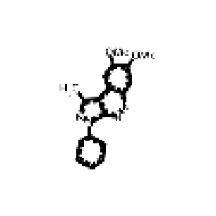 COc1cc2nnc3c(c(C)nn3-c3ccccc3)c2cc1OC